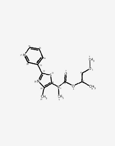 COCC(C)OC(=O)N(C)c1sc(-c2cccnc2)nc1C